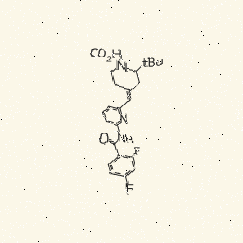 CC(C)(C)C1CC(=Cc2cccc(NC(=O)c3ccc(F)cc3F)n2)CCN1C(=O)O